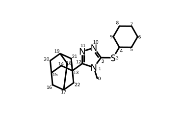 Cn1c(SC2CCCCC2)nnc1C12CC3CC(CC(C3)C1)C2